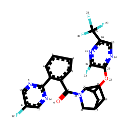 O=C(c1ccccc1-c1ncc(F)cn1)N1CC2CCC1C(Oc1ncc(C(F)(F)F)nc1F)C2